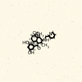 C[C@@H]1[C@H](NCc2ccccn2)C[C@H]2C(C)(C)CCC[C@@]2(C)[C@H]1C(=O)c1cc(O)cc(O)c1